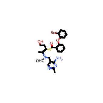 C/C(=C(\CCO)SC(=O)c1ccccc1Oc1ccccc1Br)N(C=O)Cc1cnc(C)nc1N